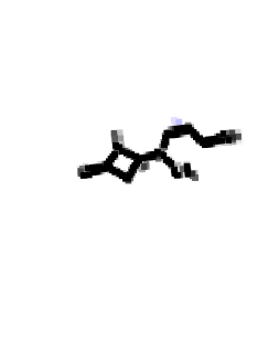 CN(/C=C\C=N)[C@H]1CC(=O)N1